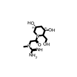 CN(CC(=O)N1C[C@H](O)C[C@@H](O)C1CO)C(=N)N